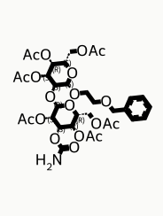 CC(=O)OC[C@@H]1O[C@H](OCCOCc2ccccc2)[C@@H](O[C@H]2O[C@H](COC(C)=O)[C@@H](OC(C)=O)[C@H](OC(N)=O)[C@@H]2OC(C)=O)[C@@H](OC(C)=O)[C@@H]1OC(C)=O